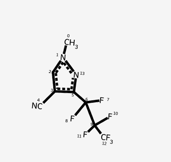 Cn1cc(C#N)c(C(F)(F)C(F)(F)C(F)(F)F)n1